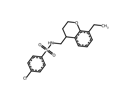 CCc1cccc2c1OCCC2CNS(=O)(=O)c1ccc(Cl)cc1